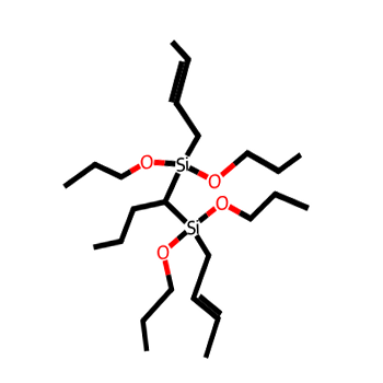 CC=CC[Si](OCCC)(OCCC)C(CCC)[Si](CC=CC)(OCCC)OCCC